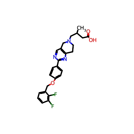 CC(CC(=O)O)CN1CCc2nc(-c3ccc(OCc4cccc(F)c4F)cc3)ncc2C1